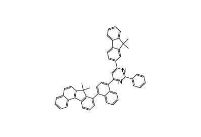 CC1(C)c2ccccc2-c2ccc(-c3cc(-c4ccc(-c5cccc6c5C(C)(C)c5ccc7ccccc7c5-6)c5ccccc45)nc(-c4ccccc4)n3)cc21